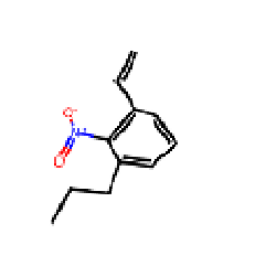 C=[C]c1cccc(CCC)c1[N+](=O)[O-]